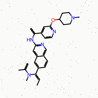 C=C(Nc1cc2cc(/C(=C/C)N(C)C(=C)C)ccc2cn1)c1ccnc(OC2CCN(C)CC2)c1